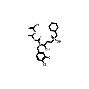 CC(OC(=O)C(C)C)OC(=O)N(C(O)CCP(=O)(O)CC1CCCCC1)[C@@H](C)c1ccc(Cl)c(Cl)c1